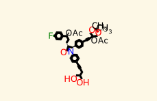 CC(=O)O[C@@H](CC[C@H]1C(=O)N(c2ccc(C#CCC(CO)CO)cc2)[C@@H]1c1ccc(C#CC2(OC(C)=O)COC(C)(C)OC2)cc1)c1ccc(F)cc1